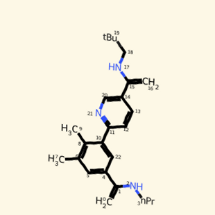 C=C(NCCC)c1cc(C)c(C)c(-c2ccc(C(=C)NCC(C)(C)C)cn2)c1